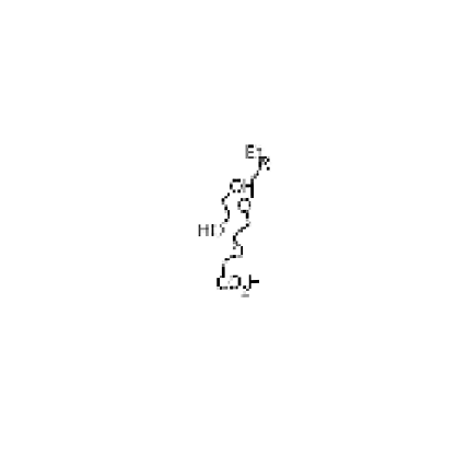 CCOCCOCCOCC(=O)O.OCCO